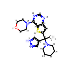 CC(c1cn[nH]c1)(c1cc2ncnc(N3CCOCC3)c2s1)N1CCCCC1